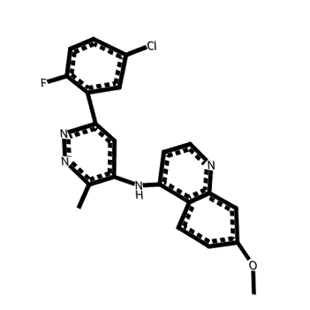 COc1ccc2c(Nc3cc(-c4cc(Cl)ccc4F)nnc3C)ccnc2c1